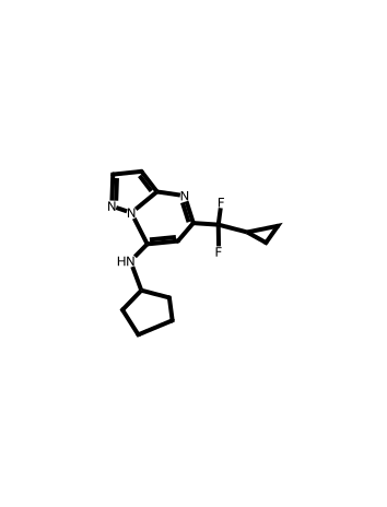 FC(F)(c1cc(NC2CCCC2)n2nccc2n1)C1CC1